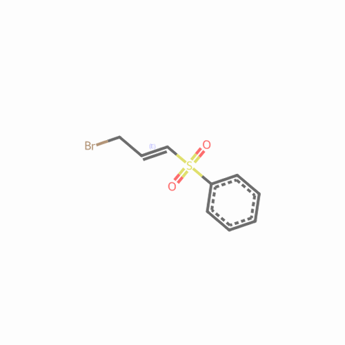 O=S(=O)(/C=C/CBr)c1ccccc1